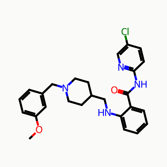 COc1cccc(CN2CCC(CNc3ccccc3C(=O)Nc3ccc(Cl)cn3)CC2)c1